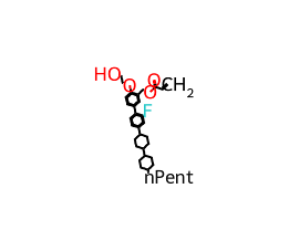 C=CC(=O)OCc1cc(-c2ccc(C3CCC(C4CCC(CCCCC)CC4)CC3)cc2F)ccc1OCCO